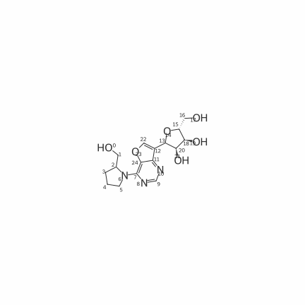 OCC1CCCN1c1ncnc2c(C3O[C@H](CO)[C@@H](O)[C@H]3O)coc12